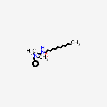 CCCCCCCCCCCC(=O)NCC[N+](CC)(CC)Cc1ccccc1